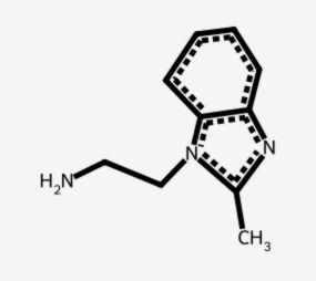 Cc1nc2ccccc2n1CCN